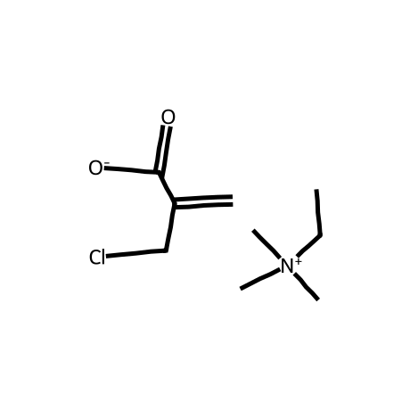 C=C(CCl)C(=O)[O-].CC[N+](C)(C)C